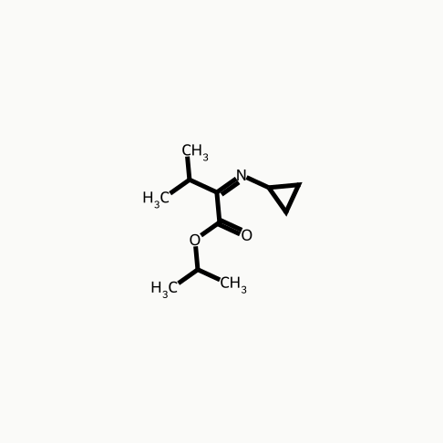 CC(C)OC(=O)/C(=N\C1CC1)C(C)C